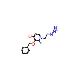 Cc1c(OCc2ccccc2)c(=O)ccn1CCN=[N+]=[N-]